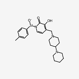 Cc1ccc([S+]([O-])n2ccc(CN3CCC(N4CCCCC4)CC3)c(O)c2=O)cc1